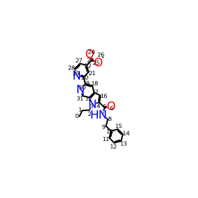 CCCn1c(C(=O)NCCc2ccccc2)cc2cc(-c3cc(C(=O)OC)ccn3)ncc21